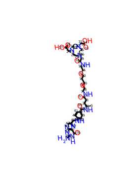 C[C@H](CCC(=O)NCCOCCCOCCNC(=O)CN1CCN(CC(=O)O)CCN(CC(=O)O)CC1)NC(=O)c1ccc(NCc2cnc3nc(N)[nH]c(=O)c3n2)cc1